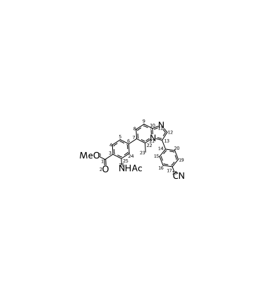 COC(=O)c1ccc(-c2ccc3ncc(-c4ccc(C#N)cc4)n3c2C)cc1NC(C)=O